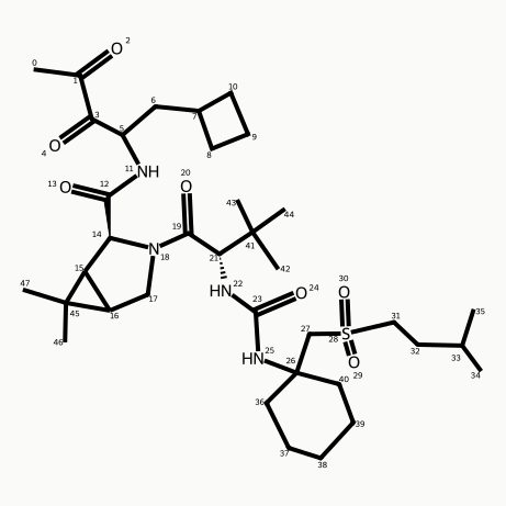 CC(=O)C(=O)C(CC1CCC1)NC(=O)[C@@H]1C2C(CN1C(=O)[C@@H](NC(=O)NC1(CS(=O)(=O)CCC(C)C)CCCCC1)C(C)(C)C)C2(C)C